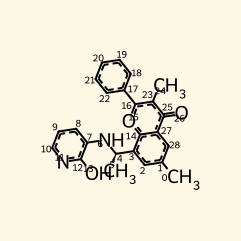 Cc1cc([C@@H](C)Nc2cccnc2O)c2oc(-c3ccccc3)c(C)c(=O)c2c1